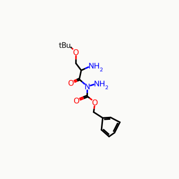 CC(C)(C)OCC(N)C(=O)N(N)C(=O)OCc1ccccc1